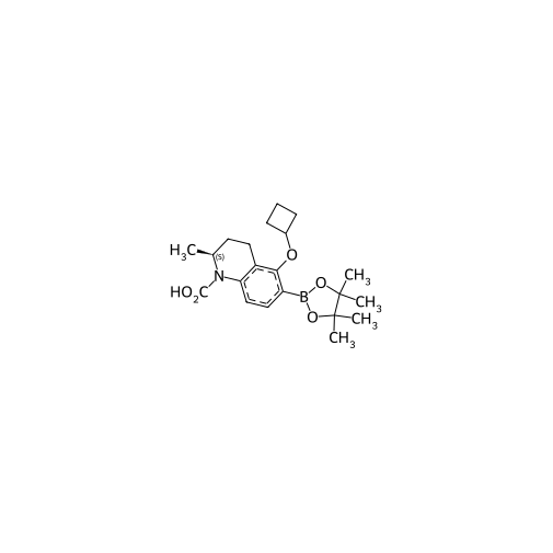 C[C@H]1CCc2c(ccc(B3OC(C)(C)C(C)(C)O3)c2OC2CCC2)N1C(=O)O